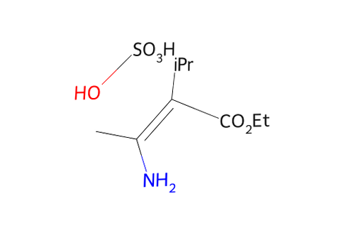 CCOC(=O)C(=C(C)N)C(C)C.O=S(=O)(O)O